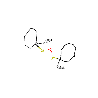 CC(C)(C)C1(SOSC2(C(C)(C)C)CCCCC2)CCCCC1